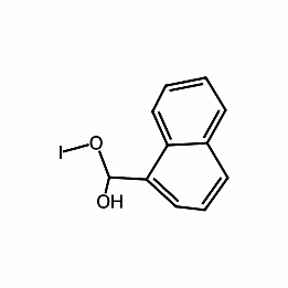 OC(OI)c1cccc2ccccc12